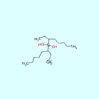 CCCCCC(CC)[Si](O)(O)C(CC)CCCCC